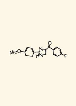 COC1=CC=C(c2nc(C(=O)c3ccc(F)cc3)c[nH]2)CC1